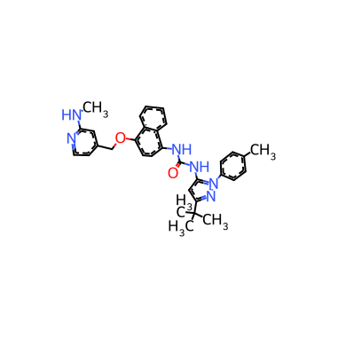 CNc1cc(COc2ccc(NC(=O)Nc3cc(C(C)(C)C)nn3-c3ccc(C)cc3)c3ccccc23)ccn1